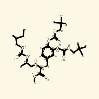 CCC(C)COC(=O)OC(C)CN[C@@H](Cc1ccc(OC(=O)OCC(C)(C)C)c(OC(=O)OCC(C)(C)C)c1)C(=O)OC